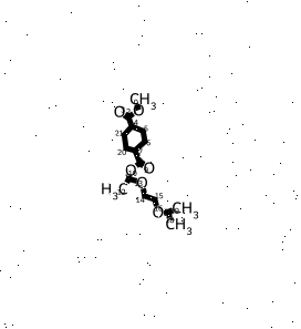 COC(=O)C1CCC(C(=O)OC(C)OCCOC(C)C)CC1